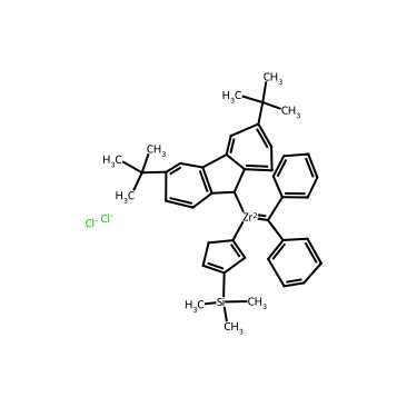 CC(C)(C)c1ccc2c(c1)-c1cc(C(C)(C)C)ccc1[CH]2[Zr+2]([C]1=CC([Si](C)(C)C)=CC1)=[C](c1ccccc1)c1ccccc1.[Cl-].[Cl-]